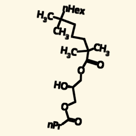 CCCCCCC(C)(C)CCCC(C)(C)C(=O)OC[C@H](O)COC(=O)CCC